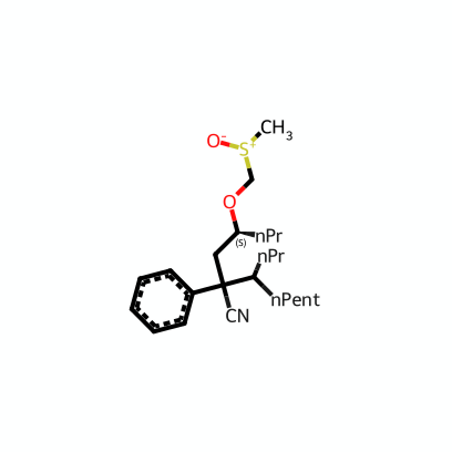 CCCCCC(CCC)C(C#N)(C[C@H](CCC)OC[S+](C)[O-])c1ccccc1